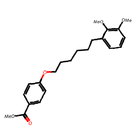 COC(=O)c1ccc(OCCCCCCc2cccc(OC)c2OC)cc1